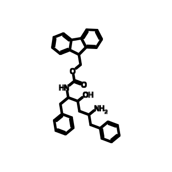 NC(Cc1ccccc1)CC(O)C(Cc1ccccc1)NC(=O)OCC1c2ccccc2-c2ccccc21